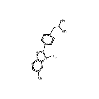 CCCN(CCC)Cc1ccc(-c2nc3ccc(C#N)cc3n2C)cc1